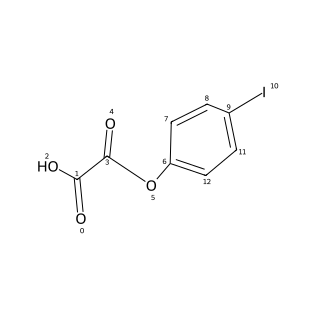 O=C(O)C(=O)Oc1ccc(I)cc1